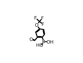 O=Cc1cc(OC(F)(F)F)ccc1B(O)O